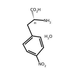 N[C@H](Cc1ccc([N+](=O)[O-])cc1)C(=O)O.O